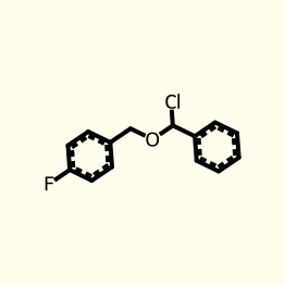 Fc1ccc(COC(Cl)c2ccccc2)cc1